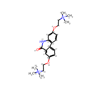 C[N+](C)(C)CCOc1ccc2c(c1)[nH]c(=O)c1cc(OCC[N+](C)(C)C)ccc12